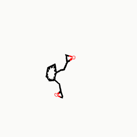 [c]1cccc(CC2CO2)c1CC1CO1